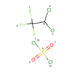 FC(F)(F)C(Cl)Cl.O=S(=O)(Cl)Cl